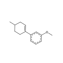 COc1cccc(C2=CCC(C)CC2)c1